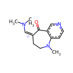 CN(C)/C=C1/CCN(C)c2ccncc2C1=O